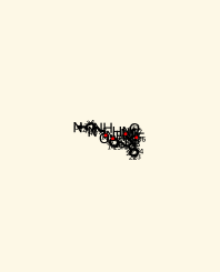 N#Cc1ccc(NCCC(=O)Nc2cccc(OCC3c4ccccc4CN3c3cn[nH]c(=O)c3C(F)(F)F)c2)nc1